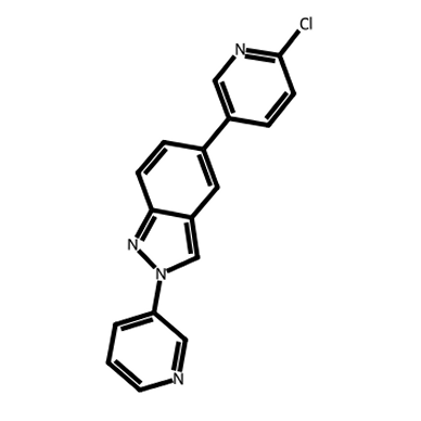 Clc1ccc(-c2ccc3nn(-c4cccnc4)cc3c2)cn1